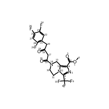 COC(=O)c1nc(C(F)(F)F)n2c1CN(C(=O)CC(=O)Cc1cc(F)c(F)cc1F)CC2